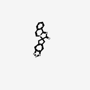 O=C1N=C2c3ccccc3C=CN2C12Cc1cc3nsnc3cc1C2